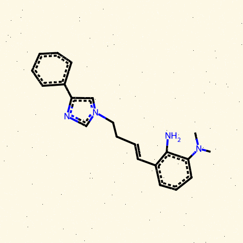 CN(C)c1cccc(C=CCCn2cnc(-c3ccccc3)c2)c1N